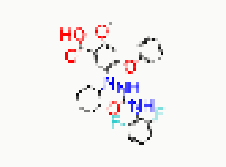 COc1cc(Oc2ccccc2)c(N(NC(=O)Nc2c(F)cccc2F)C2CCCCC2)cc1C(=O)O